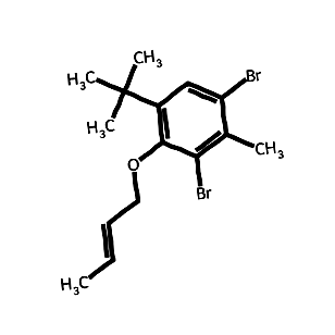 CC=CCOc1c(C(C)(C)C)cc(Br)c(C)c1Br